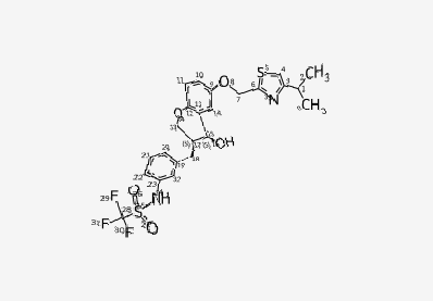 CC(C)c1csc(COc2ccc3c(c2)[C@@H](O)[C@@H](Cc2cccc(NS(=O)(=O)C(F)(F)F)c2)CO3)n1